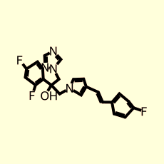 OC(Cn1ccc(C=Cc2ccc(F)cc2)c1)(Cn1cncn1)c1ccc(F)cc1F